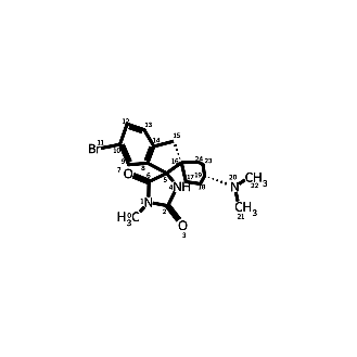 CN1C(=O)NC2(C1=O)c1cc(Br)ccc1C[C@]21CC[C@@H](N(C)C)CC1